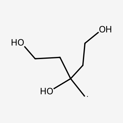 [CH2]C(O)(CCO)CCO